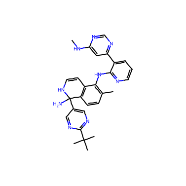 CNc1cc(-c2cccnc2Nc2c(C)ccc3c2C=CNC3(N)c2cnc(C(C)(C)C)nc2)ncn1